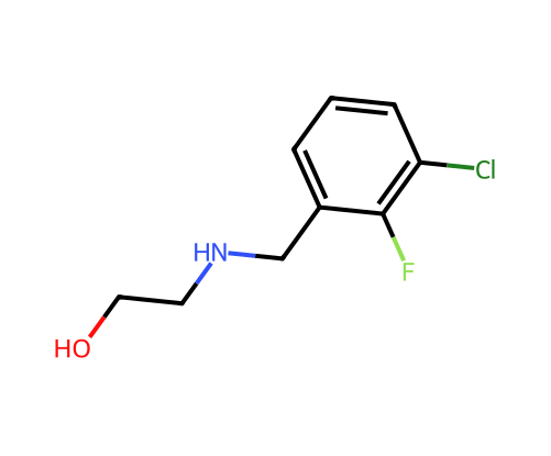 OCCNCc1cccc(Cl)c1F